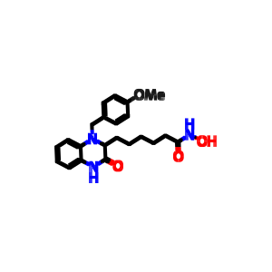 COc1ccc(CN2c3ccccc3NC(=O)C2CCCCCC(=O)NO)cc1